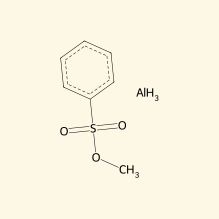 COS(=O)(=O)c1ccccc1.[AlH3]